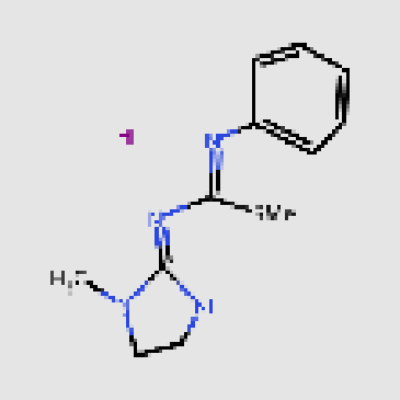 CSC(=N\c1ccccc1)/N=C1\NCCN1C.I